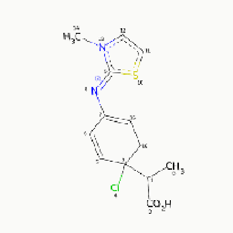 CC(C(=O)O)C1(Cl)C=CC(/N=c2\sccn2C)=CC1